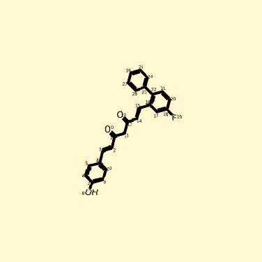 O=C(C=Cc1ccc(O)cc1)CC(=O)C=Cc1cc(F)ccc1-c1ccccc1